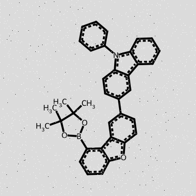 CC1(C)OB(c2cccc3oc4ccc(-c5ccc6c(c5)c5ccccc5n6-c5ccccc5)cc4c23)OC1(C)C